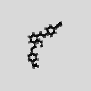 CC[n+]1c(/C=C/c2ccc(N)cc2)cccc1/C=C/c1ccc(C#N)cc1